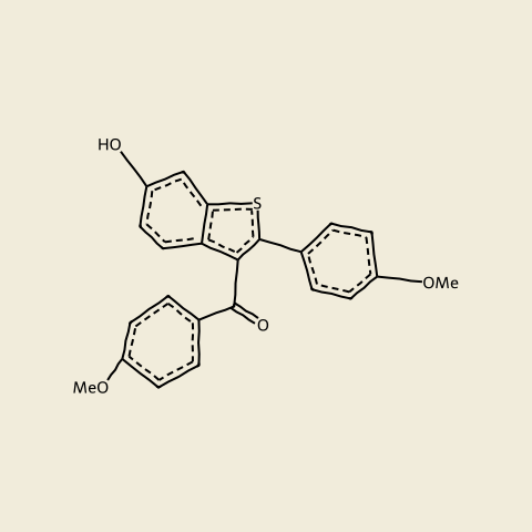 COc1ccc(C(=O)c2c(-c3ccc(OC)cc3)sc3cc(O)ccc23)cc1